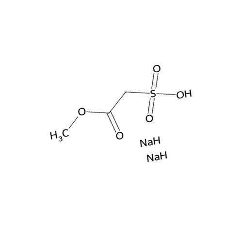 COC(=O)CS(=O)(=O)O.[NaH].[NaH]